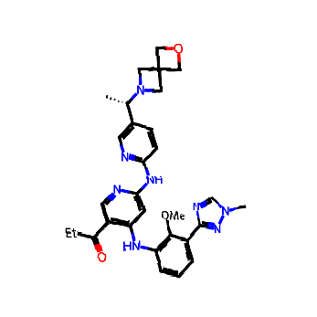 CCC(=O)c1cnc(Nc2ccc([C@H](C)N3CC4(COC4)C3)cn2)cc1Nc1cccc(-c2ncn(C)n2)c1OC